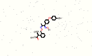 CCON=C(C(C)=NOCc1ccccc1C(=COC)C(=O)OC)c1ccc(Oc2ccc(C(C)(C)C)cc2)cc1